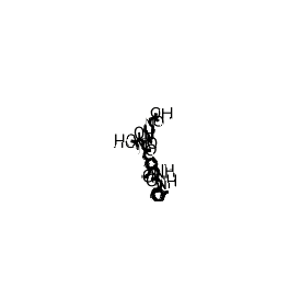 COc1cc(CC(=O)N2CC(O)C(O)[C@H]2C(=O)N2CCN(CC(=O)O)CC2)ccc1NC(=O)Nc1ccccc1C